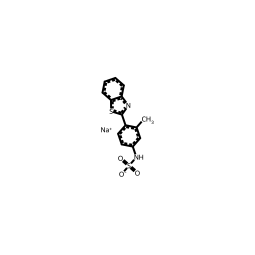 Cc1cc(NS(=O)(=O)[O-])ccc1-c1nc2ccccc2s1.[Na+]